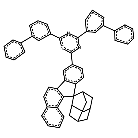 c1ccc(-c2cccc(-c3nc(-c4cccc(-c5ccccc5)c4)nc(-c4ccc5c(c4)-c4ccc6ccccc6c4C54C5CC6CC(C5)CC4C6)n3)c2)cc1